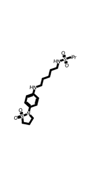 CC(C)S(=O)(=O)NCCCCCNc1ccc(N2CCCS2(=O)=O)cc1